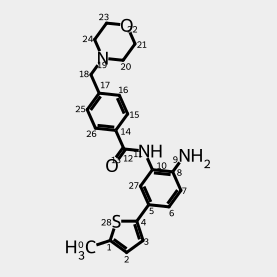 Cc1ccc(-c2ccc(N)c(NC(=O)c3ccc(CN4CCOCC4)cc3)c2)s1